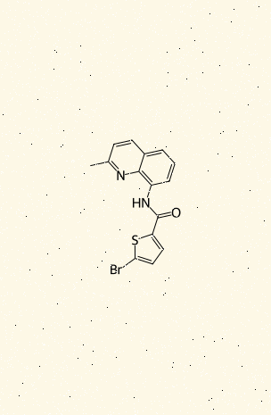 Cc1ccc2cccc(NC(=O)c3ccc(Br)s3)c2n1